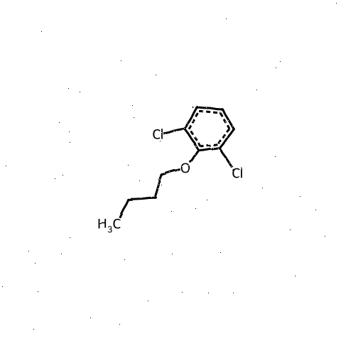 CCCCOc1c(Cl)[c]ccc1Cl